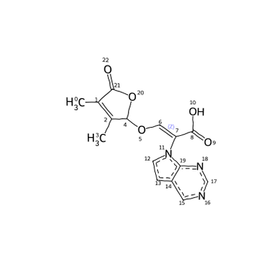 CC1=C(C)C(O/C=C(/C(=O)O)n2ccc3cncnc32)OC1=O